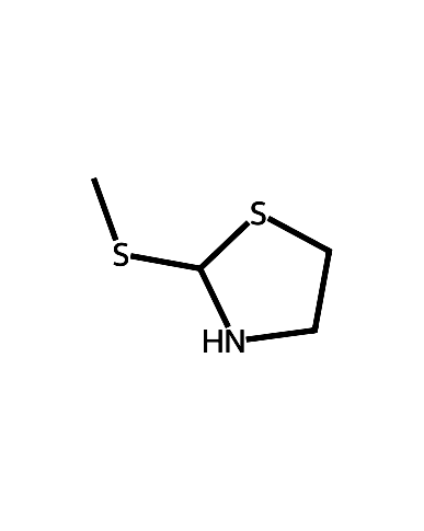 CSC1NCCS1